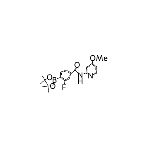 COc1ccnc(NC(=O)c2ccc(B3OC(C)(C)C(C)(C)O3)c(F)c2)c1